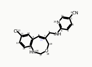 N#Cc1ccc(NC/C2=C/c3cc(Cl)ccc3NCOC2)nc1